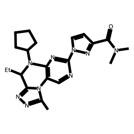 CCC1c2nnc(C)n2-c2cnc(-n3ccc(C(=O)N(C)C)n3)nc2N1C1CCCC1